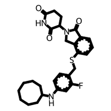 O=C1CCC(N2Cc3c(SCc4ccc(NC5CCCCCCC5)cc4F)cccc3C2=O)C(=O)N1